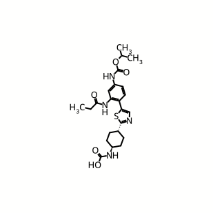 CCC(=O)Nc1cc(NC(=O)OC(C)C)ccc1-c1cnc([C@H]2CC[C@H](NC(=O)O)CC2)s1